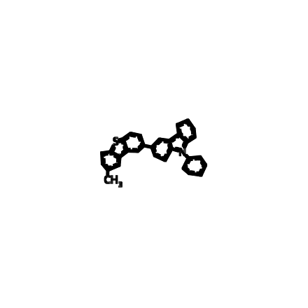 Cc1ccc2sc3ccc(-c4ccc5c(c4)c4ccccc4n5-c4ccccc4)cc3c2c1